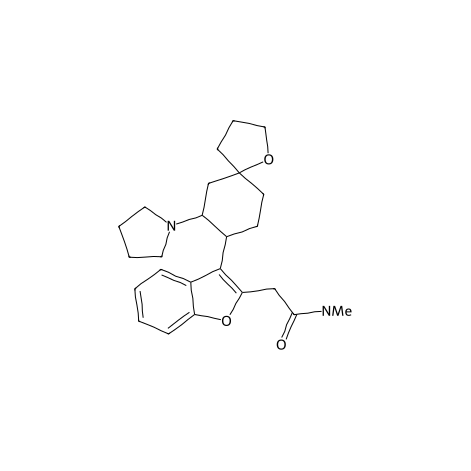 CNC(=O)Cc1oc2ccccc2c1C1CCC2(CCCO2)CC1N1CCCC1